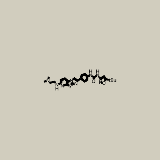 CN(C)CCNc1ccc2c(n1)sc1nc(-c3ccc(NC(=O)Nc4cc(C(C)(C)C)on4)cc3)cn12